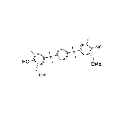 COCc1cc(C(C)(C)c2ccc(C(C)(C)c3cc(C)c(O)c(CO)c3)cc2)cc(C)c1N=O